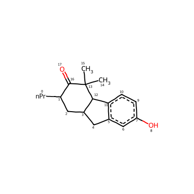 CCCC1CC2Cc3cc(O)ccc3C2C(C)(C)C1=O